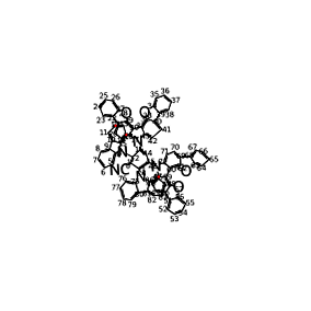 N#Cc1c(-n2c3ccccc3c3ccccc32)c(-n2c3ccc4c5ccccc5oc4c3c3c4oc5ccccc5c4ccc32)cc(-n2c3ccc4c5ccccc5oc4c3c3c4oc5ccccc5c4ccc32)c1-n1c2ccccc2c2ccccc21